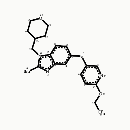 CC(C)(C)c1nc2cc(Sc3ccc(OCC(F)(F)F)nc3)ccc2n1CC1CCOCC1